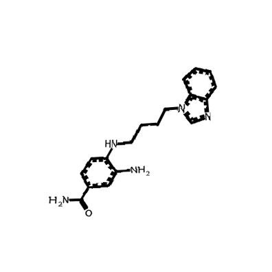 NC(=O)c1ccc(NCCCCn2cnc3ccccc32)c(N)c1